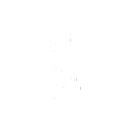 CC(C)[C@H](N)C(=O)O[C@H](/C=C/CCCl)CC(=O)NCc1nc(C(=O)OC(C)(C)C)cs1